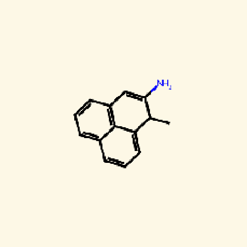 CC1C(N)=Cc2cccc3cccc1c23